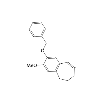 COc1cc2c(cc1OCc1ccccc1)C=[C]CCC2